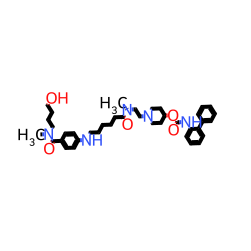 CN(CCN1CCC(OC(=O)Nc2ccccc2-c2ccccc2)CC1)C(=O)CCCCCNc1ccc(C(=O)N(C)CCCCO)cc1